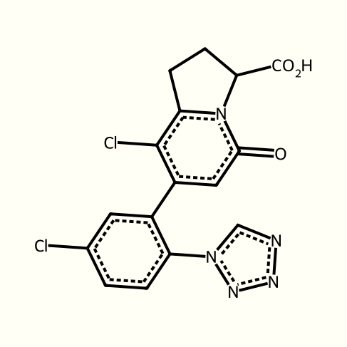 O=C(O)C1CCc2c(Cl)c(-c3cc(Cl)ccc3-n3cnnn3)cc(=O)n21